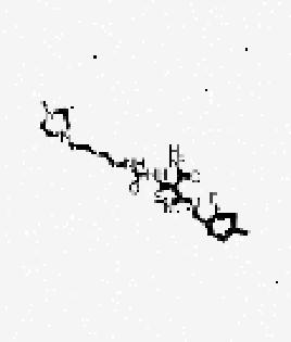 Cc1ccc(COc2nsc(NC(=O)NCCCCCN3CCN(C)CC3)c2C(N)=O)c(F)c1